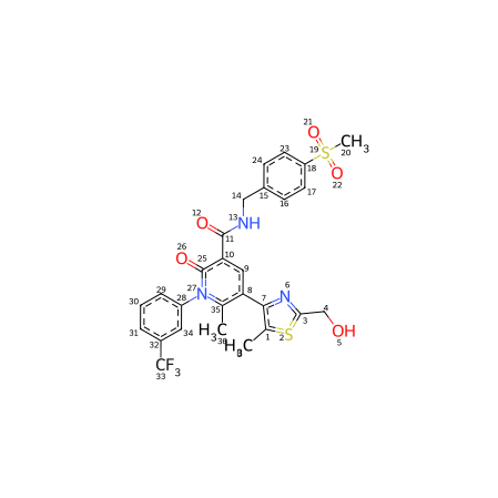 Cc1sc(CO)nc1-c1cc(C(=O)NCc2ccc(S(C)(=O)=O)cc2)c(=O)n(-c2cccc(C(F)(F)F)c2)c1C